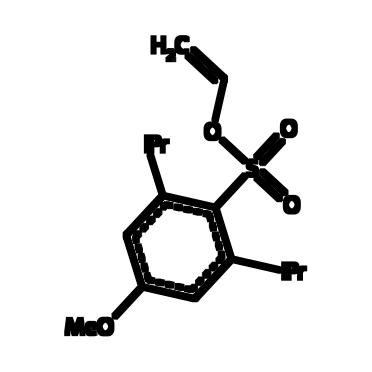 C=COS(=O)(=O)c1c(C(C)C)cc(OC)cc1C(C)C